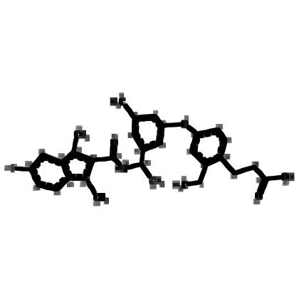 CCc1cc(Oc2cc(C)cc(C(C)NC(=O)c3c(C)c4cc(F)ccc4n3C)c2)ccc1CCC(=O)O